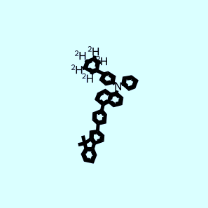 [2H]c1c([2H])c([2H])c(-c2ccc(N(c3ccccc3)c3cccc4c(-c5ccc(-c6ccc7c(c6)C(C)(C)c6ccccc6-7)cc5)cccc34)cc2)c([2H])c1[2H]